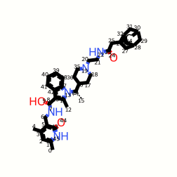 Cc1cc(C)c(CNC(O)c2c(C)n([C@@H](C)C3CCN(CCNC(=O)CC45CC6CC(CC4C6)C5)CC3)c3ccccc23)c(=O)[nH]1